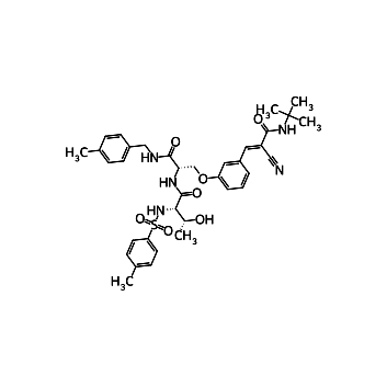 Cc1ccc(CNC(=O)[C@H](COc2cccc(/C=C(\C#N)C(=O)NC(C)(C)C)c2)NC(=O)[C@@H](NS(=O)(=O)c2ccc(C)cc2)[C@@H](C)O)cc1